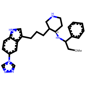 COCC(N[C@@H]1CCNCC1CCCc1c[nH]c2ccc(-n3cnnc3)cc12)c1ccccc1